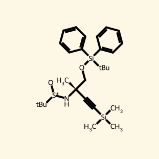 CC(C)(C)[S+]([O-])N[C@@](C)(C#C[Si](C)(C)C)CO[Si](c1ccccc1)(c1ccccc1)C(C)(C)C